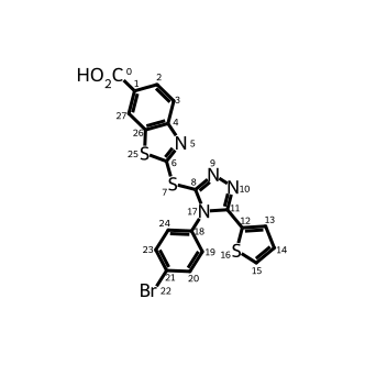 O=C(O)c1ccc2nc(Sc3nnc(-c4cccs4)n3-c3ccc(Br)cc3)sc2c1